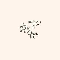 Cc1cc2nc3c(=O)[nH]c(=O)nc-3n(CCNCc3ccccc3C(=O)O)c2cc1C